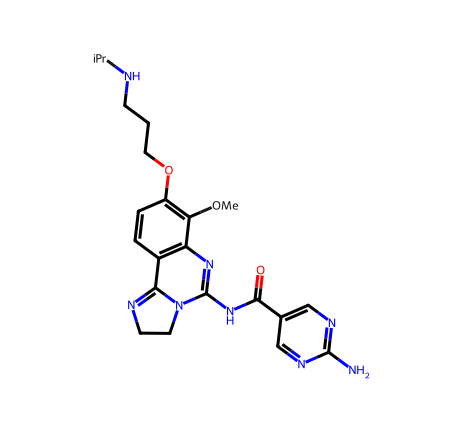 COc1c(OCCCNC(C)C)ccc2c1N=C(NC(=O)c1cnc(N)nc1)N1CCN=C21